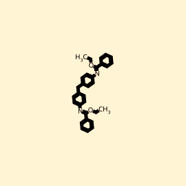 CCO/C(=N\c1ccc(Cc2ccc(/N=C(\OCC)c3ccccc3)cc2)cc1)c1ccccc1